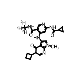 [2H]C([2H])([2H])NC(=O)c1cnc(NC(=O)C2CC2)cc1Nc1cn(C)c2c1C(=O)C(C1CCC1)C=N2